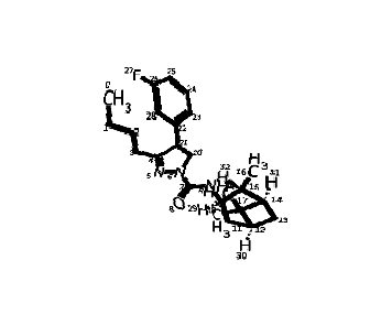 CCCCC1=NN(C(=O)N[C@@H]2C[C@@H]3C[C@H]([C@H]2C)C3(C)C)CC1c1cccc(F)c1